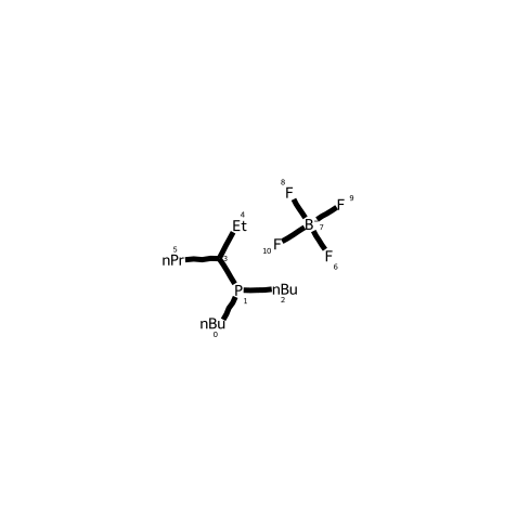 CCCCP(CCCC)C(CC)CCC.F[B-](F)(F)F